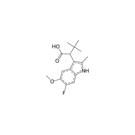 COc1cc2c(C(C(=O)O)C(C)(C)C)c(C)[nH]c2cc1F